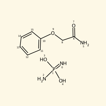 N=P(N)(O)O.NC(=O)COc1ccccc1